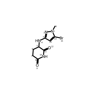 Cn1nc(NC2CCC(=O)NC2=O)cc1Br